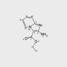 CCOC(=O)c1c(N)nc2ccccn12